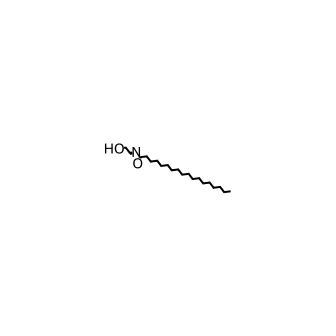 CCCCCCCCCCCCCCCCCC(=O)N=CCO